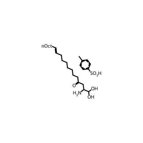 CCCCCCCCC=CCCCCCCCC(=O)CC(N)C(O)O.Cc1ccc(S(=O)(=O)O)cc1